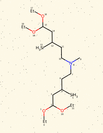 CCOC(CC([SiH3])CCN(C)CCC([SiH3])CC(OCC)OCC)OCC